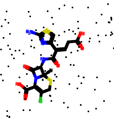 Nc1nc(C(=CCC(=O)O)C(=O)N[C@@H]2C(=O)N3C(C(=O)O)=C(Cl)CS[C@@H]23)cs1